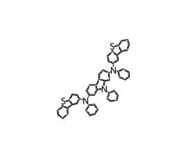 c1ccc(N(c2ccc3sc4ccccc4c3c2)c2ccc3c4ccc(N(c5ccccc5)c5ccc6sc7ccccc7c6c5)cc4n(-c4ccccc4)c3c2)cc1